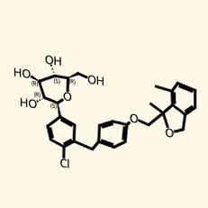 Cc1cccc2c1C(C)(COc1ccc(Cc3cc([C@@H]4O[C@H](CO)[C@@H](O)[C@H](O)[C@H]4O)ccc3Cl)cc1)OC2